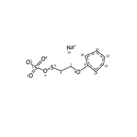 O=S(=O)([O-])OSCCOc1ccccc1.[Na+]